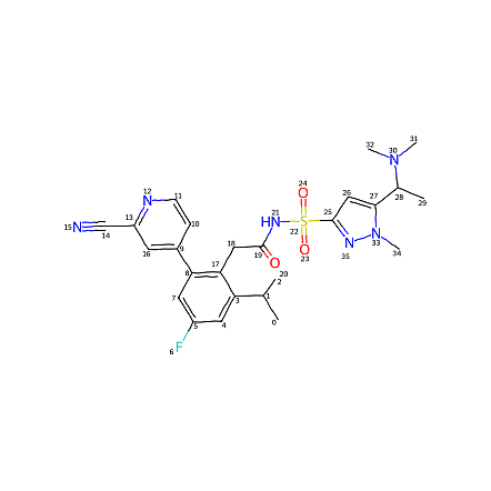 CC(C)c1cc(F)cc(-c2ccnc(C#N)c2)c1CC(=O)NS(=O)(=O)c1cc(C(C)N(C)C)n(C)n1